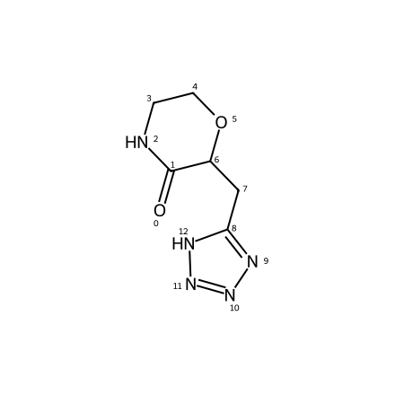 O=C1NCCOC1Cc1nnn[nH]1